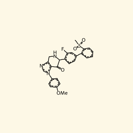 COc1ccc(-n2cnc3c2C(=O)C(c2ccc(-c4ccccc4S(C)(=O)=O)cc2F)NC3)cc1